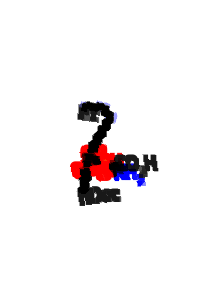 CC/C=C\C/C=C\C/C=C\CCCCCCCC(=O)O[C@H](COC(=O)CCCCCCCCCCCCCC)COP(=O)(O)OC[C@H](N)C(=O)O